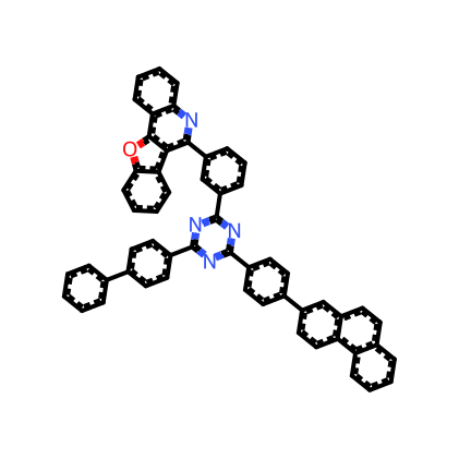 c1ccc(-c2ccc(-c3nc(-c4ccc(-c5ccc6c(ccc7ccccc76)c5)cc4)nc(-c4cccc(-c5nc6ccccc6c6oc7ccccc7c56)c4)n3)cc2)cc1